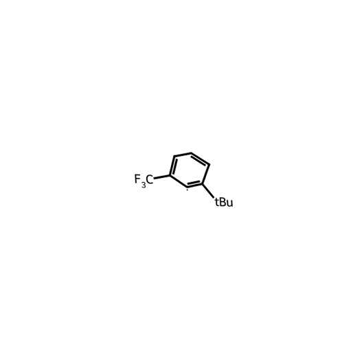 CC(C)(C)c1[c]c(C(F)(F)F)ccc1